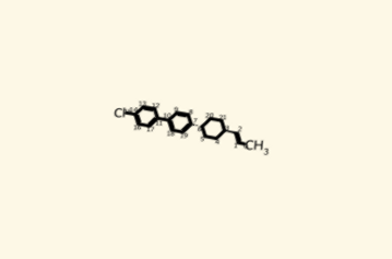 C/C=C/[C@H]1CC[C@H](c2ccc(-c3ccc(Cl)cc3)cc2)CC1